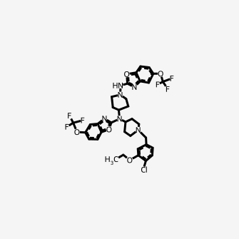 CCOc1cc(CN2CCC(N(c3nc4cc(OC(F)(F)F)ccc4o3)C3CCN(Nc4nc5cc(OC(F)(F)F)ccc5o4)CC3)CC2)ccc1Cl